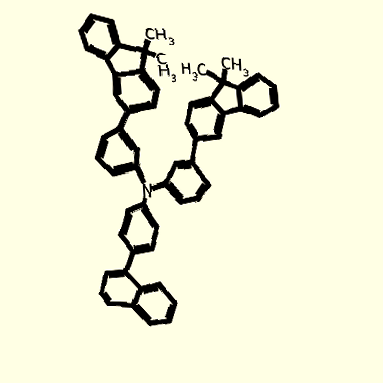 CC1(C)c2ccccc2-c2cc(-c3cccc(N(c4ccc(-c5cccc6ccccc56)cc4)c4cccc(-c5ccc6c(c5)-c5ccccc5C6(C)C)c4)c3)ccc21